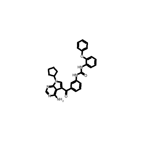 Nc1ncnc2c1c(C(=O)c1cccc(NC(=O)Nc3ccccc3Oc3ccccc3)c1)cn2C1CCCC1